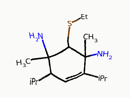 CCSC1C(C)(N)C(C(C)C)=CC(C(C)C)C1(C)N